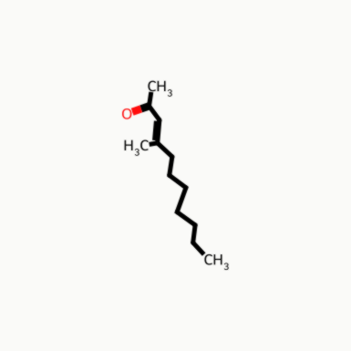 CCCCCCC/C(C)=C/C(C)=O